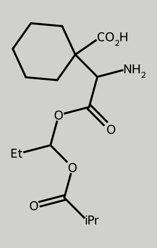 CCC(OC(=O)C(C)C)OC(=O)C(N)C1(C(=O)O)CCCCC1